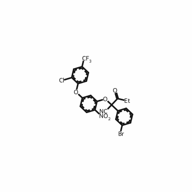 CCC(=O)C(C#N)(Oc1cc(Oc2ccc(C(F)(F)F)cc2Cl)ccc1[N+](=O)[O-])c1cccc(Br)c1